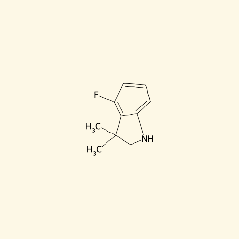 CC1(C)CNc2cccc(F)c21